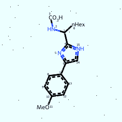 CCCCCCC(NC(=O)O)c1nc(-c2ccc(OC)cc2)c[nH]1